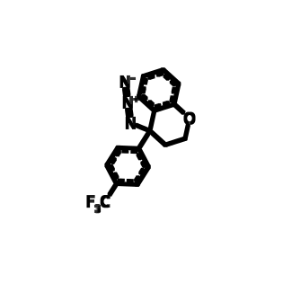 [N-]=[N+]=NC1(c2ccc(C(F)(F)F)cc2)CCOc2ccccc21